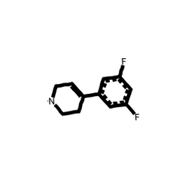 Fc1cc(F)cc(C2=CC[N]CC2)c1